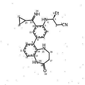 CC[C@@H](CC#N)Nc1ccc(-c2cccc3c2NCCC(=O)N3)cc1C(=N)C1CC1